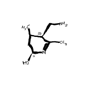 CC1=N[C@@H](O)CC(C)[C@H]1CN